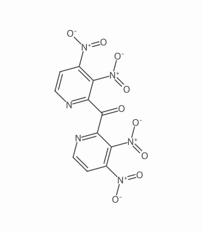 O=C(c1nccc([N+](=O)[O-])c1[N+](=O)[O-])c1nccc([N+](=O)[O-])c1[N+](=O)[O-]